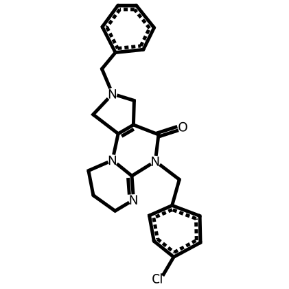 O=C1C2=C(CN(Cc3ccccc3)C2)N2CCCN=C2N1Cc1ccc(Cl)cc1